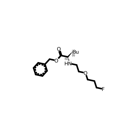 CC[C@H](C)[C@H](NCCOCCCF)C(=O)OCc1ccccc1